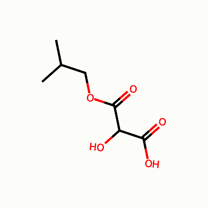 CC(C)COC(=O)C(O)C(=O)O